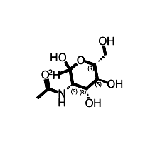 [2H]C1(O)O[C@H](CO)[C@@H](O)[C@H](O)[C@@H]1NC(C)=O